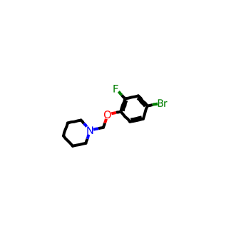 Fc1cc(Br)ccc1OCN1CCCCC1